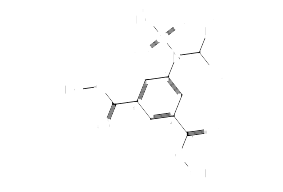 COC(=O)c1cc(C(=O)OC)cc(N(C(F)F)S(C)(=O)=O)c1